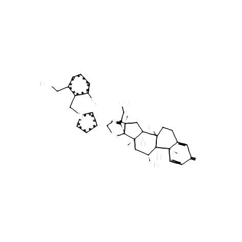 C[C@]12C=CC(=O)C=C1CC[C@@H]1[C@@H]2[C@@H](O)C[C@@]2(C)[C@H]1C[C@H]1O[C@@H](c3ccn(Cc4c(N)cccc4CO)c3)O[C@]12C(=O)CO